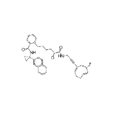 O=C(CCCCc1ccccc1C(=O)NC1(c2ccc3ccccc3c2)CC1)C(=O)NCC#CC1=C/CC/C=C/C(F)=C\1